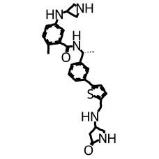 Cc1ccc(NC2CNC2)cc1C(=O)N[C@H](C)c1cccc(-c2ccc(CNC3CNC(=O)C3)s2)c1